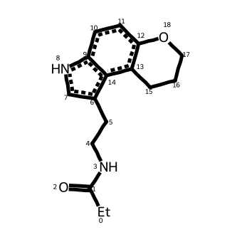 CCC(=O)NCCc1c[nH]c2ccc3c(c12)CCCO3